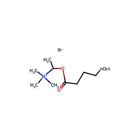 CCCCCCCCCCCC(=O)OC(C)[N+](C)(C)C.[Br-]